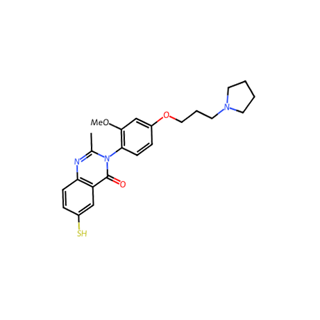 COc1cc(OCCCN2CCCC2)ccc1-n1c(C)nc2ccc(S)cc2c1=O